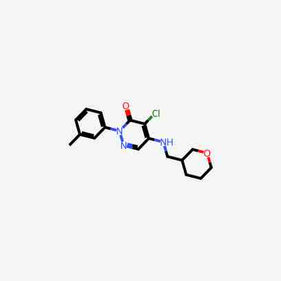 Cc1cccc(-n2ncc(NCC3CCCOC3)c(Cl)c2=O)c1